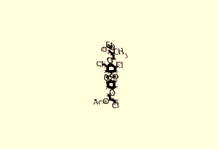 CCS(=O)(=O)C[C@H](C)COc1c(Cl)cc(S(=O)(=O)c2ccc(OC[C@@H](CCl)OC(C)=O)cc2)cc1Cl